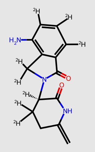 [2H]c1c([2H])c(N)c2c(c1[2H])C(=O)N([C@@]1([2H])C(=O)NC(=C)CC1([2H])[2H])C2([2H])[2H]